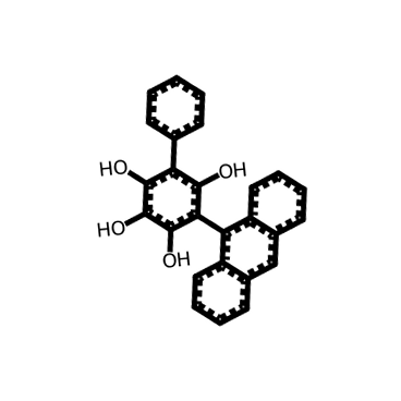 Oc1c(O)c(-c2ccccc2)c(O)c(-c2c3ccccc3cc3ccccc23)c1O